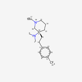 CN(C)[C@@]1(CCc2ccc(C(F)(F)F)cc2)CCCN(C(C)(C)C)C1